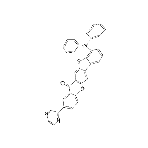 O=c1c2cc(-c3cnccn3)ccc2oc2cc3c(cc12)sc1c(N(c2ccccc2)c2ccccc2)cccc13